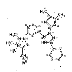 Br.CC1=NNN(C)[N+]1(C)C.Cc1nc(N2N=C(c3ccccc3)NN2c2ccccc2)sc1C.[Br-]